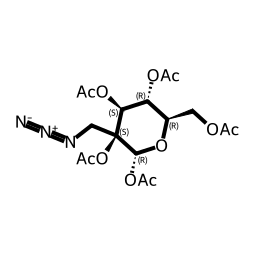 CC(=O)OC[C@H]1O[C@H](OC(C)=O)[C@@](CN=[N+]=[N-])(OC(C)=O)[C@@H](OC(C)=O)[C@@H]1OC(C)=O